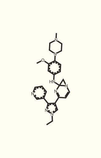 CCn1cc(C2=NC3(Nc4ccc(N5CCN(C)CC5)c(OC)c4)CN3C=C2)c(-c2cccnc2)n1